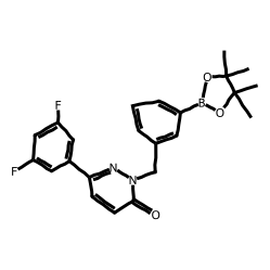 CC1(C)OB(c2cccc(Cn3nc(-c4cc(F)cc(F)c4)ccc3=O)c2)OC1(C)C